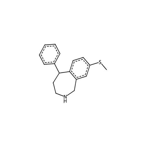 CSc1ccc2c(c1)CNCCC2c1ccccc1